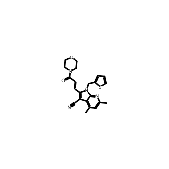 Cc1cc(C)c2c(C#N)c(C=CC(=O)N3CCOCC3)n(Cc3cccs3)c2n1